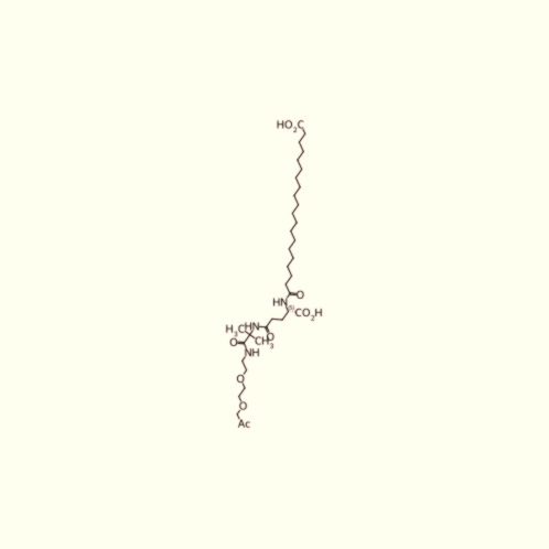 CC(=O)COCCOCCNC(=O)C(C)(C)NC(=O)CC[C@H](NC(=O)CCCCCCCCCCCCCCCCCCC(=O)O)C(=O)O